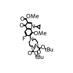 COC(=O)c1cn(C2CC2)c2c(OC)c(N3CCN(C(=O)OC(C)(C)C)N(C(=O)OC(C)(C)C)CC3)c(F)cc2c1=O